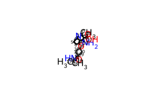 Cc1nc2cccc(OC3CCC(C(=O)NC(C)C)CC3)c2c(N)c1C(=O)O